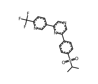 CC(C)S(=O)(=O)c1ccc(-c2cncc(-c3ccc(C(F)(F)F)nc3)n2)cc1